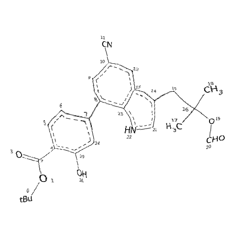 CC(C)(C)OC(=O)c1ccc(-c2cc(C#N)cc3c(CC(C)(C)OC=O)c[nH]c23)cc1O